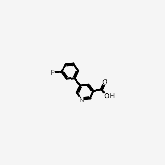 O=C(O)c1cncc(-c2cccc(F)c2)c1